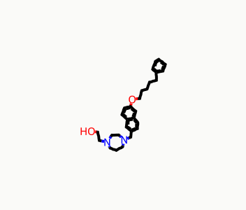 OCCN1CCCN(Cc2ccc3cc(OCCCCCc4ccccc4)ccc3c2)CC1